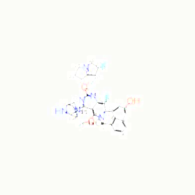 C#Cc1cccc2cc(O)cc(-c3nc4c5c(nc(OC[C@]67CCCN6C[C@@H](F)C7)nc5c3F)N3CC5C[C@H]6C(N5)[C@@]63CO4)c12